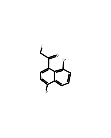 O=C(CCl)c1ccc(Br)c2cccc(Br)c12